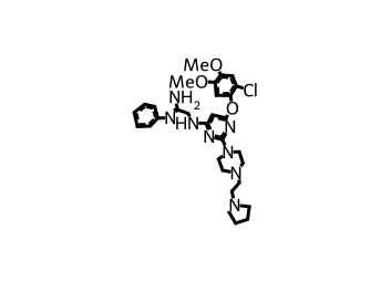 COc1cc(Cl)c(Oc2cc(NC/C(N)=N/c3ccccc3)nc(N3CCN(CCN4CCCC4)CC3)n2)cc1OC